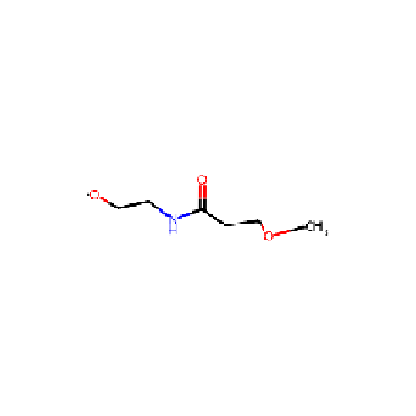 COCCC(=O)NCC[O]